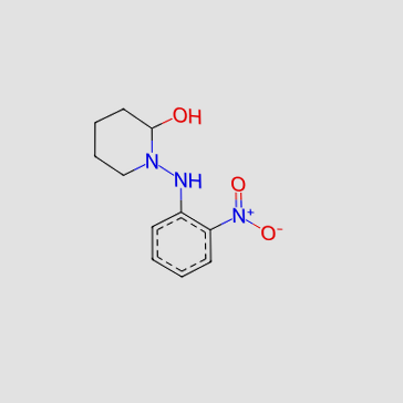 O=[N+]([O-])c1ccccc1NN1CCCCC1O